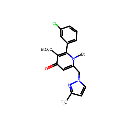 CCOC(=O)c1c(-c2cccc(Cl)c2)n(CC)c(Cn2ccc(C(F)(F)F)n2)cc1=O